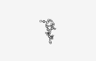 CC1(C)CCC(CN2CCN(c3ccc(C(=O)NS(=O)(=O)c4ccc(NCC5CCOCC5)c([N+](=O)[O-])c4)c(Oc4cc(Br)nc(NC(=O)O)c4)c3)CC2)=C(c2ccc(Cl)cc2)C1